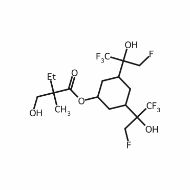 CCC(C)(CO)C(=O)OC1CC(C(O)(CF)C(F)(F)F)CC(C(O)(CF)C(F)(F)F)C1